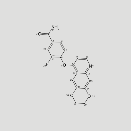 NC(=O)c1ccc(Oc2ccnc3cc4c(cc23)OCCO4)c(F)c1